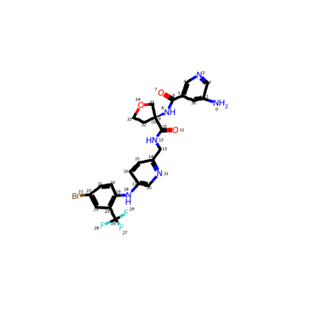 Nc1cncc(C(=O)N[C@@]2(C(=O)NCc3ccc(Nc4ccc(Br)cc4C(F)(F)F)cn3)CCOC2)c1